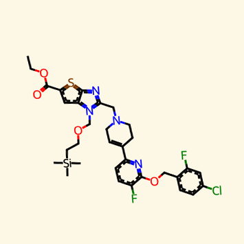 CCOC(=O)c1cc2c(nc(CN3CC=C(c4ccc(F)c(OCc5ccc(Cl)cc5F)n4)CC3)n2COCC[Si](C)(C)C)s1